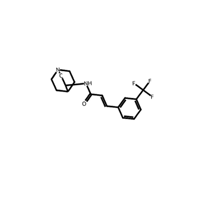 O=C(C=Cc1cccc(C(F)(F)F)c1)NC1CN2CCC1CC2